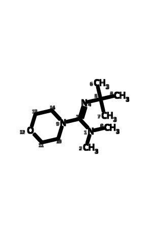 CN(C)C(=NC(C)(C)C)N1CCOCC1